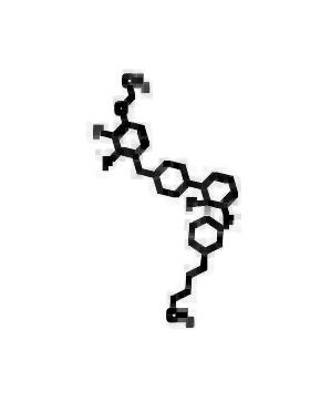 CCCCC[C@H]1CC[C@H](C2(F)C(F)=CC=CC2C2CCC(Cc3ccc(OCC)c(F)c3F)CC2)CC1